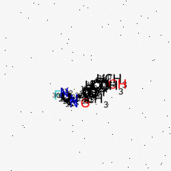 C[C@@]1(O)CC[C@@]2(C)[C@@H](CC[C@@H]3[C@@H]2CC[C@@]2(C)[C@H]3CC[C@@]2(C=O)CCn2ncc3cc(F)ncc32)C1